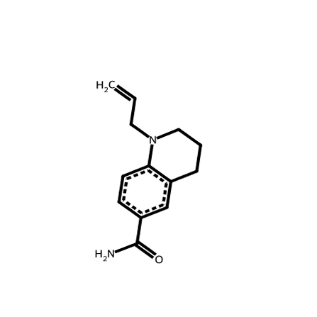 C=CCN1CCCc2cc(C(N)=O)ccc21